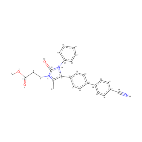 COC(=O)CCn1c(C)c(-c2ccc(-c3ccc(C#N)cc3)cc2)n(-c2ccccc2)c1=O